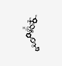 C[C@@H]1CN(c2ccc(F)cc2C(F)(F)F)CCN1S(=O)(=O)c1cccc(N2CCN(CC(=O)N3CCCC3)CC2)c1